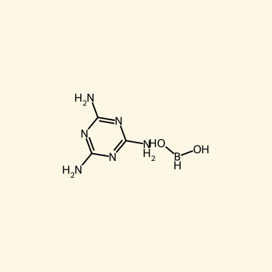 Nc1nc(N)nc(N)n1.OBO